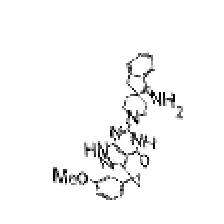 COc1cccc(C2(c3n[nH]c4nc(N5CCC6(CC5)Cc5ccccc5[C@H]6N)[nH]c(=O)c34)CC2)c1